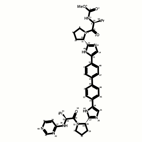 COC(=O)N[C@H](C(=O)N1CCC[C@H]1c1ncc(-c2ccc(-c3ccc(-c4cnc([C@@H]5CCCN5C(=O)[C@@H](Nc5ccncn5)C(C)C)[nH]4)cc3)cc2)[nH]1)C(C)C